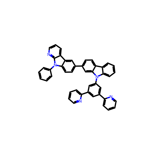 c1ccc(-n2c3ccc(-c4ccc5c6ccccc6n(-c6cc(-c7ccccn7)cc(-c7ccccn7)c6)c5c4)cc3c3cccnc32)cc1